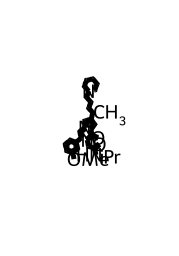 COc1cccc(-c2cn3cc([C@H](C)CCCN4CCCCC4)cc3c(=O)n2CC(=O)NC(C)C)c1